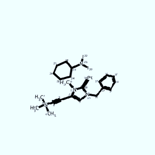 Cn1c(C#C[Si](C)(C)C)cn(Cc2ccccc2)[c]1=[Pt].IN(I)C1CCCCC1